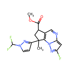 COC(=O)C1CC(C)(c2ccn(C(F)F)n2)c2c1cnc1cc(F)nn21